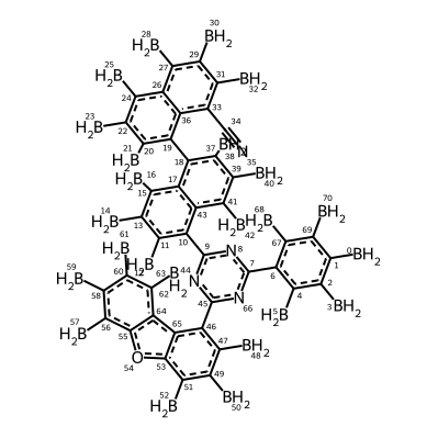 Bc1c(B)c(B)c(-c2nc(-c3c(B)c(B)c(B)c4c(-c5c(B)c(B)c(B)c6c(B)c(B)c(B)c(C#N)c56)c(B)c(B)c(B)c34)nc(-c3c(B)c(B)c(B)c4oc5c(B)c(B)c(B)c(B)c5c34)n2)c(B)c1B